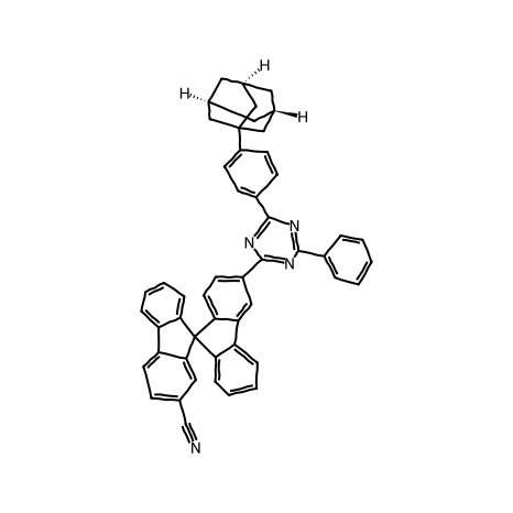 N#Cc1ccc2c(c1)C1(c3ccccc3-c3cc(-c4nc(-c5ccccc5)nc(-c5ccc(C67C[C@H]8C[C@H](C6)C[C@@H](C7)C8)cc5)n4)ccc31)c1ccccc1-2